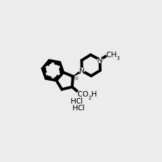 CN1CCN([C@@H]2c3ccccc3CC2C(=O)O)CC1.Cl.Cl